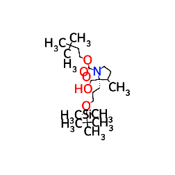 CC1CCN(C(=O)OCCC(C)(C)C)[C@]1(CCCO[Si](C)(C)C(C)(C)C)C(=O)O